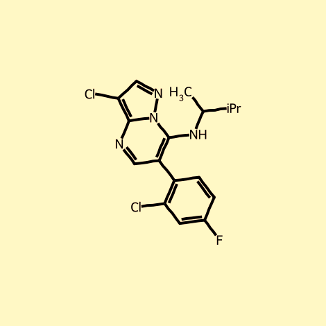 CC(C)C(C)Nc1c(-c2ccc(F)cc2Cl)cnc2c(Cl)cnn12